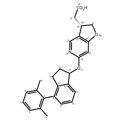 Cc1cccc(C)c1-c1cccc2c1CCC2Oc1cc2c(cn1)[C@H](CC(=O)O)CO2